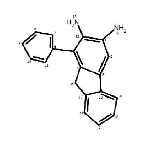 Nc1cc2c(c(-c3ccccc3)c1N)Cc1ccccc1-2